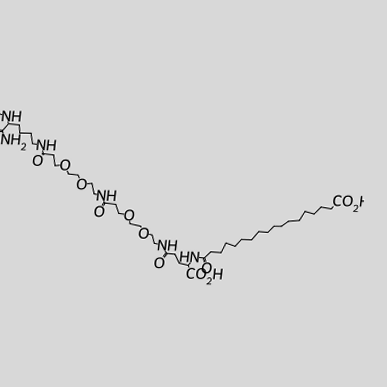 CC(C)NC(CCCCNC(=O)CCOCCOCCNC(=O)CCOCCOCCNC(=O)CCC(NC(=O)CCCCCCCCCCCCCCCCC(=O)O)C(=O)O)C(N)=O